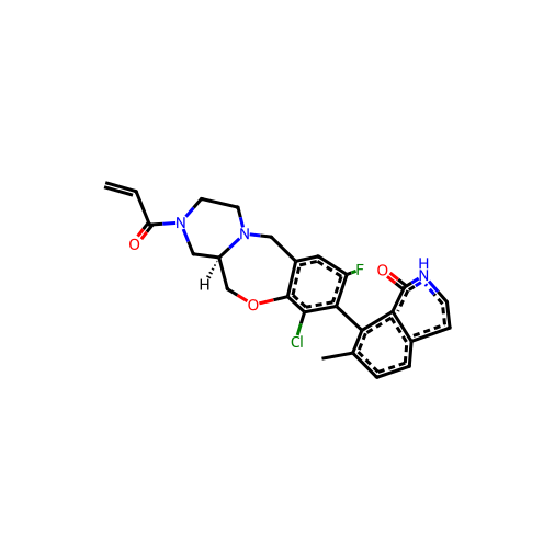 C=CC(=O)N1CCN2Cc3cc(F)c(-c4c(C)ccc5cc[nH]c(=O)c45)c(Cl)c3OC[C@H]2C1